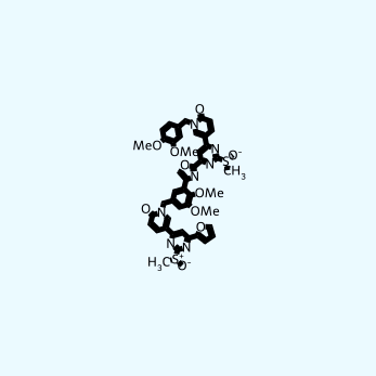 COc1ccc(Cn2cc(-c3cc(-c4nc(-c5cc(Cn6cc(-c7cc(-c8ccco8)nc([S+](C)[O-])n7)ccc6=O)cc(OC)c5OC)co4)nc([S+](C)[O-])n3)ccc2=O)cc1OC